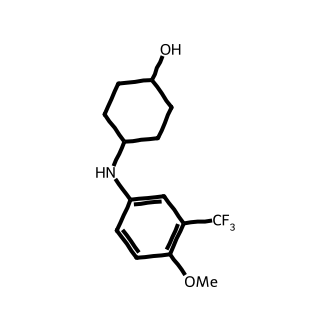 COc1ccc(NC2CCC(O)CC2)cc1C(F)(F)F